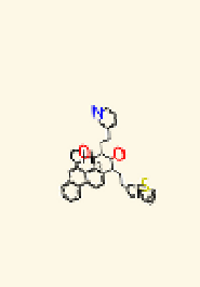 Cc1cc2ccccc2c2ccc3c(c12)C(=O)C(CCc1cccnc1)C(=O)C3CCC(F)(F)F.c1ccsc1